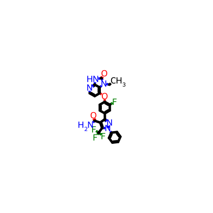 CCn1c(=O)[nH]c2nccc(Oc3ccc(-c4nn(-c5ccccc5)c(C(F)(F)F)c4C(N)=O)cc3F)c21